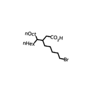 CCCCCCCCC(CCCCCC)C(CCCCCBr)CC(=O)O